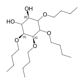 CCCCOC1C(OCCCC)[C@@H](OCCCC)[C@@H](OCCCC)C(O)[C@H]1O